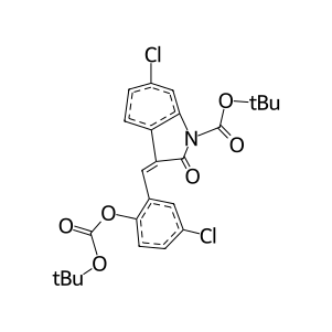 CC(C)(C)OC(=O)Oc1ccc(Cl)cc1C=C1C(=O)N(C(=O)OC(C)(C)C)c2cc(Cl)ccc21